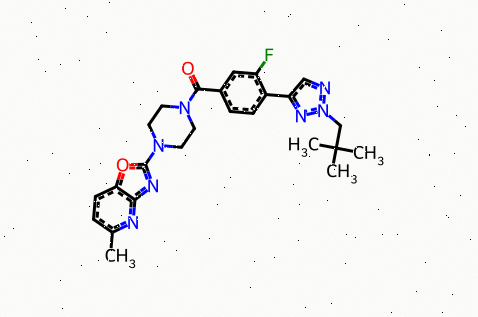 Cc1ccc2oc(N3CCN(C(=O)c4ccc(-c5cnn(CC(C)(C)C)n5)c(F)c4)CC3)nc2n1